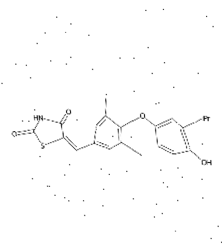 Cc1cc(C=C2SC(=O)NC2=O)cc(C)c1Oc1ccc(O)c(C(C)C)c1